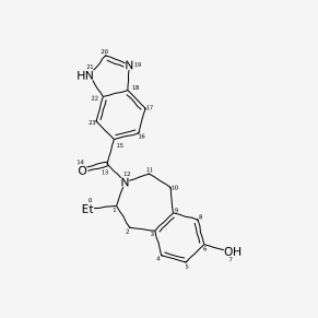 CCC1Cc2ccc(O)cc2CCN1C(=O)c1ccc2nc[nH]c2c1